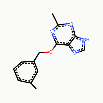 Cc1cccc(COc2nc(C)nc3[nH]cnc23)c1